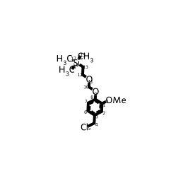 COc1cc(CCl)ccc1OCOCC[Si](C)(C)C